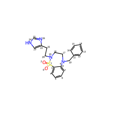 O=S1(=O)c2ccccc2N(Cc2ccccc2)CCN1CCc1c[nH]cn1